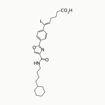 O=C(O)CCCC=C(I)c1ccc(-c2nc(C(=O)NCCCCC3CCCCC3)co2)cc1